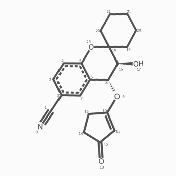 N#Cc1ccc2c(c1)[C@@H](OC1=CC(=O)CC1)[C@H](O)C1(CCCCC1)O2